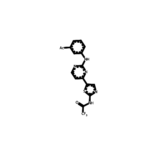 CC(=O)c1cccc(Nc2nccc(-c3cnc(NC(=O)C(F)(F)F)s3)n2)c1